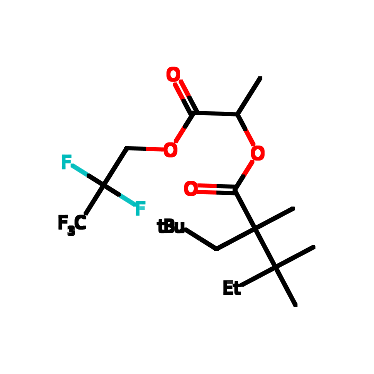 CCC(C)(C)C(C)(CC(C)(C)C)C(=O)OC(C)C(=O)OCC(F)(F)C(F)(F)F